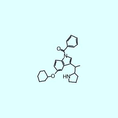 CC(c1cn(C(=O)c2ccccc2)c2ccc(OC3CCCCC3)cc12)C1CCCN1